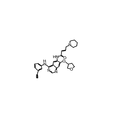 C#Cc1cccc(Nc2ncnc3cc(OC4CCOC4)c(NC(=O)/C=C/CN4CCCCC4)cc23)c1